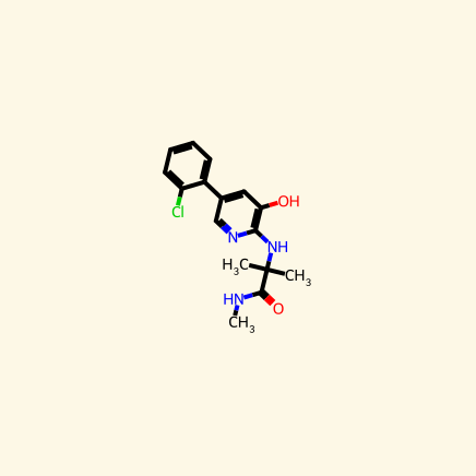 CNC(=O)C(C)(C)Nc1ncc(-c2ccccc2Cl)cc1O